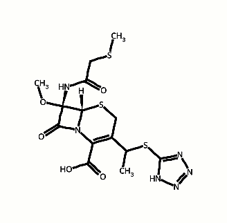 CO[C@@]1(NC(=O)CSC)C(=O)N2C(C(=O)O)=C(C(C)Sc3nnn[nH]3)CS[C@H]21